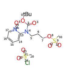 CC(C)(C)OC(=O)N(CCCOS(C)(=O)=O)c1cccc[n+]1[O-].CS(=O)(=O)Cl